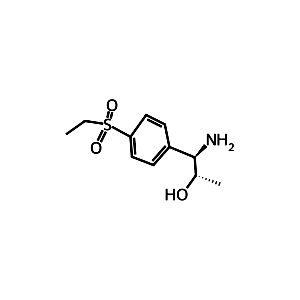 CCS(=O)(=O)c1ccc([C@@H](N)[C@H](C)O)cc1